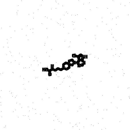 O=C(O)NCCCN1CCC2(CC1)CCN(c1ncnc3[nH]cc(Cl)c13)C2